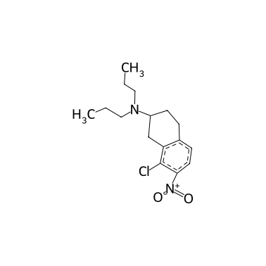 CCCN(CCC)C1CCc2ccc([N+](=O)[O-])c(Cl)c2C1